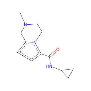 CN1CCn2c(ccc2C(=O)NC2CC2)C1